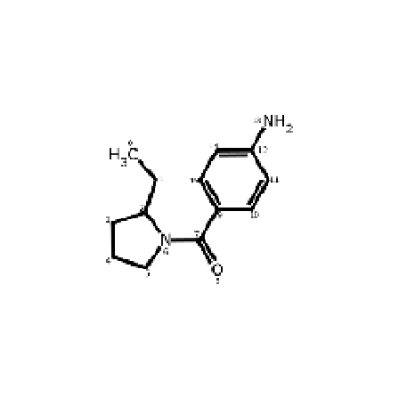 CCC1CCCN1C(=O)c1ccc(N)cc1